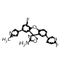 Cn1cc(-c2cc(F)c3c(c2)[C@]2(COC(N)=N2)c2cc(-c4ccc(F)nc4)ccc2O3)cn1